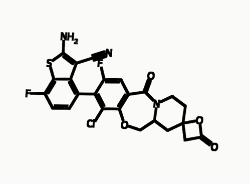 N#Cc1c(N)sc2c(F)ccc(-c3c(F)cc4c(c3Cl)OCC3CC5(CCN3C4=O)CC(=O)O5)c12